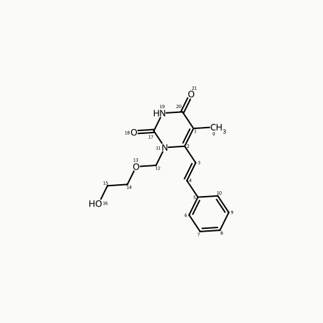 Cc1c(/C=C/c2ccccc2)n(COCCO)c(=O)[nH]c1=O